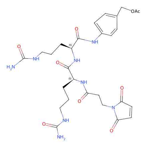 CC(=O)OCc1ccc(NC(=O)[C@H](CCCNC(N)=O)NC(=O)[C@H](CCCNC(N)=O)NC(=O)CCN2C(=O)C=CC2=O)cc1